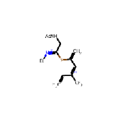 C=C/C(=C\C(=C)S/C(CNC(C)=O)=N\CC)C(F)(F)F